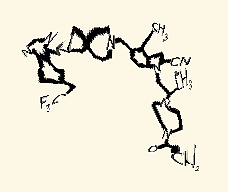 C=CC(=O)N1CCN(C(C)Cn2c(C#N)cc3c(C)c(CN4CCC5(CC4)CN(c4ncnc6ccc(CC(F)(F)F)cc46)C5)ccc32)CC1